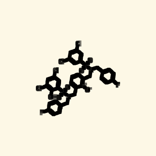 O=S(=O)(c1cc(Cl)cc(Cl)c1)N(Cc1ccc(F)cc1)Cc1cccc(CN(Cc2ccc(F)cc2)S(=O)(=O)c2cc(Cl)cc(Cl)c2O)[n+]1[O-]